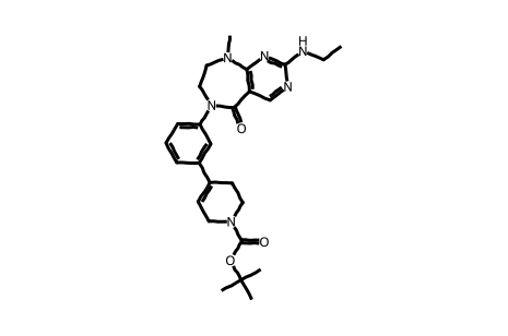 CCNc1ncc2c(n1)N(C)CCN(c1cccc(C3=CCN(C(=O)OC(C)(C)C)CC3)c1)C2=O